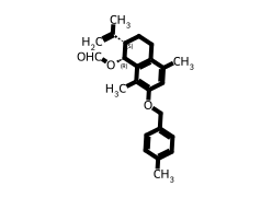 C=C(C)[C@@H]1CCc2c(C)cc(OCc3ccc(C)cc3)c(C)c2[C@@H]1OC=O